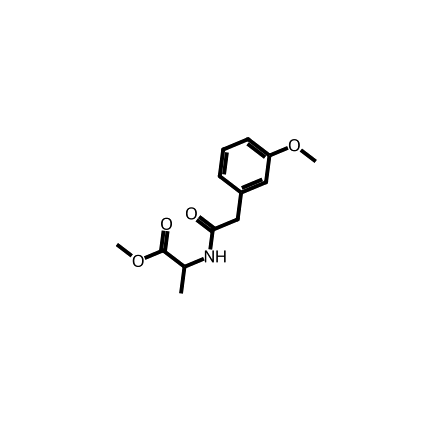 COC(=O)C(C)NC(=O)Cc1cccc(OC)c1